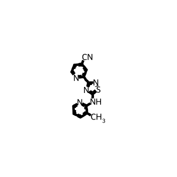 Cc1cccnc1Nc1nc(-c2cc(C#N)ccn2)ns1